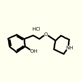 Cl.Oc1ccccc1CCOC1CCNCC1